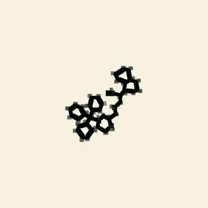 OC(COCC1CN(C(c2ccccc2)(c2ccccc2)c2ccccc2)CCO1)c1cccc2ccccc12